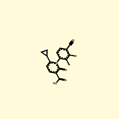 Cc1c(-n2c(C3CC3)ccc(C(=O)O)c2=O)ccc(C#N)c1F